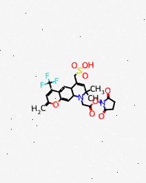 C=C1C=C(C(F)(F)F)C2=CC3C(CS(=O)(=O)O)=CC(C)(C)N(CC(=O)ON4C(=O)CCC4=O)C3C=C2O1